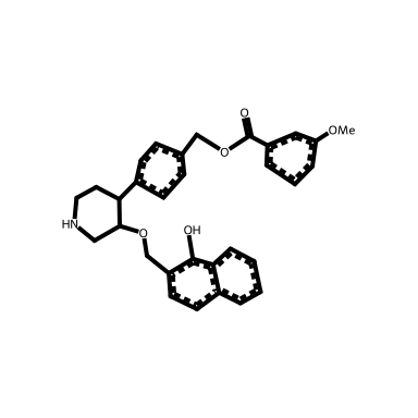 COc1cccc(C(=O)OCc2ccc(C3CCNCC3OCc3ccc4ccccc4c3O)cc2)c1